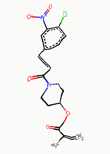 C=C(C)C(=O)OC1CCN(C(=O)/C=C/c2ccc(Cl)c([N+](=O)[O-])c2)CC1